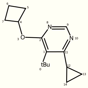 CC(C)(C)c1c(OC2CCC2)ncnc1C1CC1